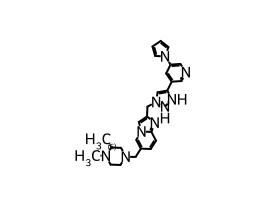 C[C@H]1CN(Cc2ccc3nc(CN4C=C(c5cncc(-n6cccc6)c5)NN4)cn3c2)CCN1C